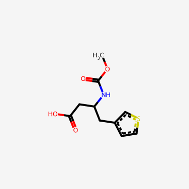 COC(=O)NC(CC(=O)O)Cc1ccsc1